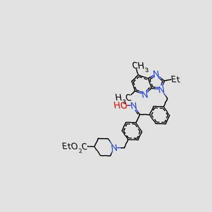 CCOC(=O)C1CCN(Cc2ccc(C(=NO)c3cccc(Cn4c(CC)nc5c(C)cc(C)nc54)c3)cc2)CC1